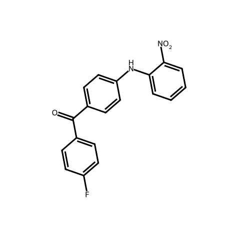 O=C(c1ccc(F)cc1)c1ccc(Nc2ccccc2[N+](=O)[O-])cc1